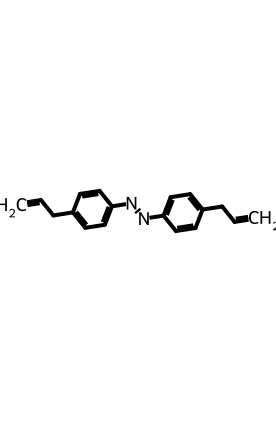 C=CCc1ccc(N=Nc2ccc(CC=C)cc2)cc1